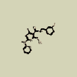 CCSc1nc(N(C)c2ccccn2)cc(C)c1C(=O)NCc1cccc(F)c1